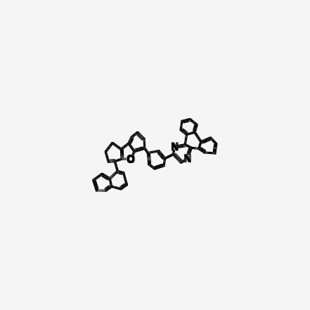 C1=C(c2cccc3ccccc23)c2oc3c(-c4cccc(-c5cnc6c7ccccc7c7ccccc7c6n5)c4)cccc3c2CC1